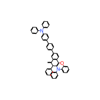 C=C1c2cc(-c3ccc(-c4ccc(N(c5ccccc5)c5ccccc5)cc4)cc3)ccc2C2=C(C1c1ccccc1)N(c1ccccc1)c1ccccc1O2